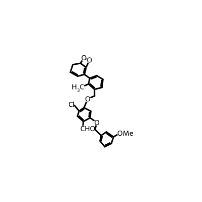 COc1cccc(COc2cc(OCc3cccc(C4=C5OOC5CC=C4)c3C)c(Cl)cc2C=O)c1